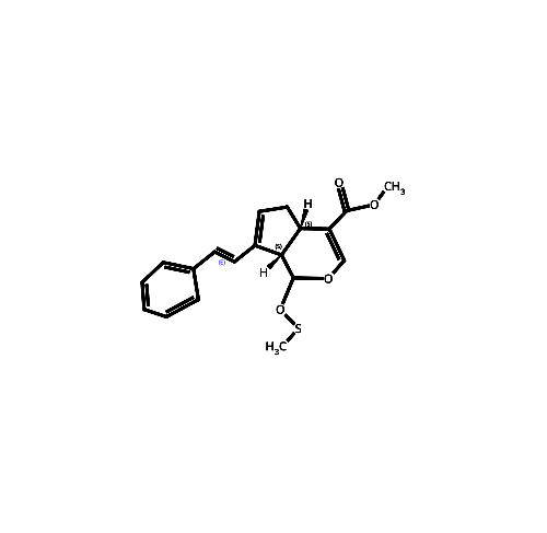 COC(=O)C1=COC(OSC)[C@@H]2C(/C=C/c3ccccc3)=CC[C@H]12